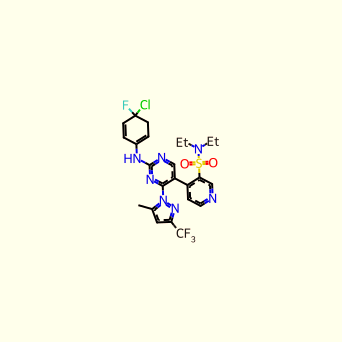 CCN(CC)S(=O)(=O)c1cnccc1-c1cnc(NC2=CCC(F)(Cl)C=C2)nc1-n1nc(C(F)(F)F)cc1C